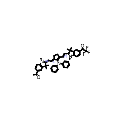 CC(=O)c1ccc2c(c1)C(C)(C)/C(=C\C=C1/CCC(/C=C/C3=[N+](C)c4ccc(C(=O)C(F)(F)F)cc4C3(C)C)=C1N(c1ccccc1)c1ccccc1)N2C